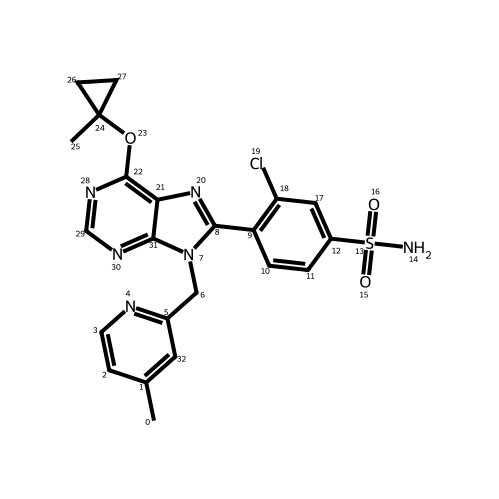 Cc1ccnc(Cn2c(-c3ccc(S(N)(=O)=O)cc3Cl)nc3c(OC4(C)CC4)ncnc32)c1